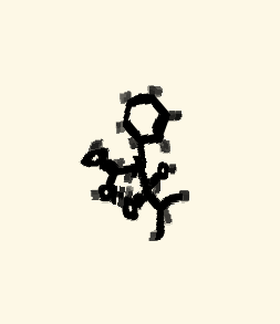 CC(C)S(=O)(=O)N(C(=O)O)c1ccccc1